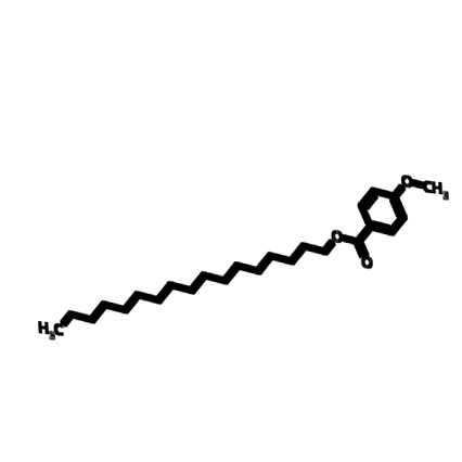 CCCCCCCCCCCCCCCCCOC(=O)c1ccc(OC)cc1